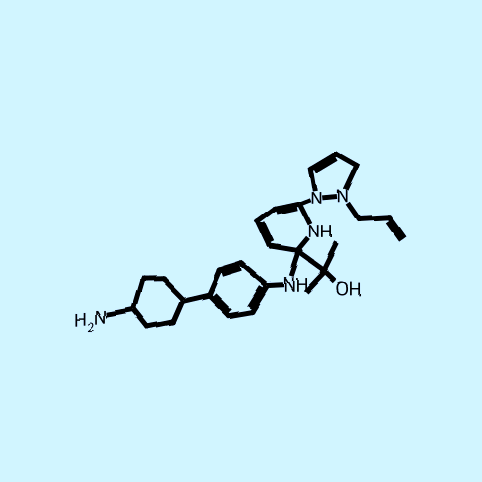 C=CCN1CC=CN1C1=CC=CC(Nc2ccc(C3CCC(N)CC3)cc2)(C(C)(C)O)N1